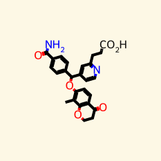 Cc1c(OC(c2ccc(C(N)=O)cc2)c2ccnc(CCC(=O)O)c2)ccc2c1OCCC2=O